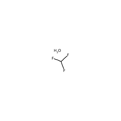 F[C](F)F.O